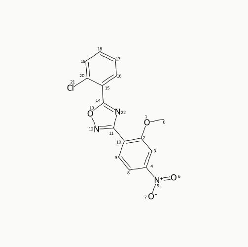 COc1cc([N+](=O)[O-])ccc1-c1noc(-c2ccccc2Cl)n1